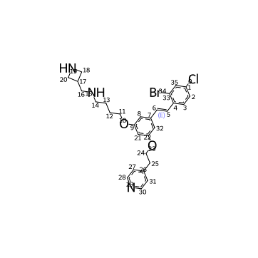 Clc1ccc(/C=C/c2cc(OCCCCNCC3CNC3)cc(OCCc3ccncc3)c2)c(Br)c1